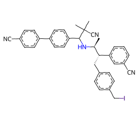 C[C@H](NC(c1ccc(-c2ccc(C#N)cc2)cc1)C(C)(C)C#N)[C@@H](Cc1ccc(CI)cc1)c1cccc(C#N)c1